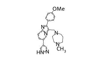 COc1ccc(-c2nc3ccc(-c4cn[nH]c4)cn3c2CN2CCCN(C)CC2)cc1